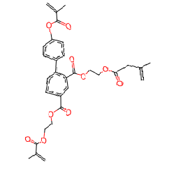 C=C(C)CC(=O)OCCOC(=O)c1cc(C(=O)OCCOC(=O)C(=C)C)ccc1-c1ccc(OC(=O)C(=C)C)cc1